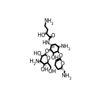 NCC[C@H](O)C(=O)N[C@@H]1C[C@H](N)C(OC2=CCC[C@@H](CN)O2)C(O)[C@H]1O[C@H]1OC(CO)[C@@H](O)[C@H](N)C1O